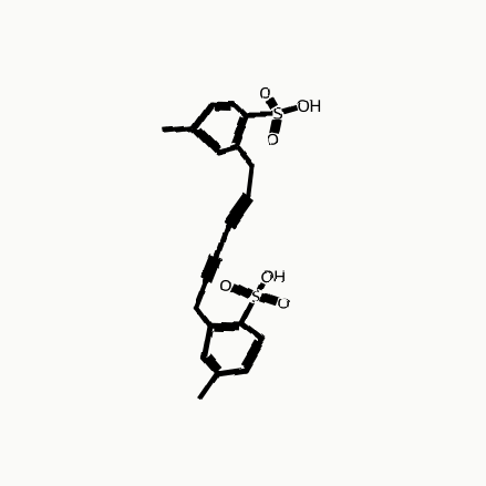 Cc1ccc(S(=O)(=O)O)c(CC#CC#CCc2cc(C)ccc2S(=O)(=O)O)c1